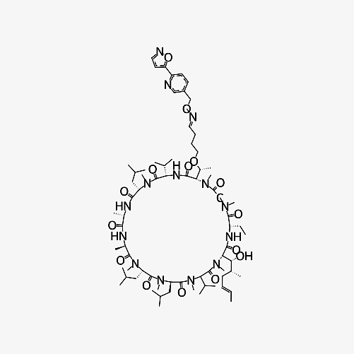 C/C=C/C[C@@H](C)[C@@H](O)[C@H]1C(=O)N[C@@H](CC)C(=O)N(C)CC(=O)N(C)[C@@H]([C@@H](C)OCCC/C=N/OCc2ccc(-c3ccno3)nc2)C(=O)N[C@@H](C(C)C)C(=O)N(C)[C@@H](CC(C)C)C(=O)N[C@@H](C)C(=O)N[C@H](C)C(=O)N(C)[C@@H](CC(C)C)C(=O)N(C)[C@H](CC(C)C)C(=O)N(C)C(C(C)C)C(=O)N1C